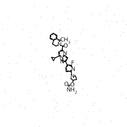 C[C@@H]1c2ccccc2CCN1C(=O)c1cc(C2CC2)n2nc(-c3ccc(N4CCC(OC(N)=O)C4)nc3F)cc2n1